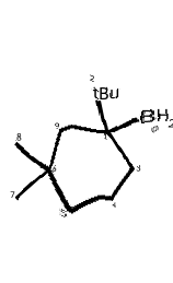 BC1(C(C)(C)C)CCCC(C)(C)C1